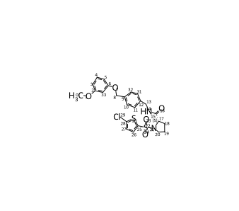 COc1cccc(OCc2ccc(CNC(=O)[C@@H]3CCCN3S(=O)(=O)c3ccc(Cl)s3)cc2)c1